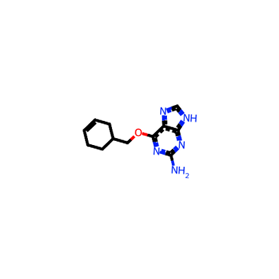 Nc1nc(OCC2CC=CCC2)c2nc[nH]c2n1